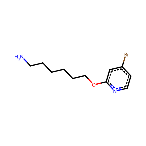 NCCCCCCOc1cc(Br)ccn1